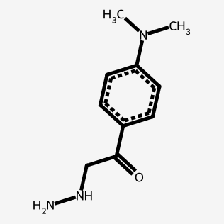 CN(C)c1ccc(C(=O)CNN)cc1